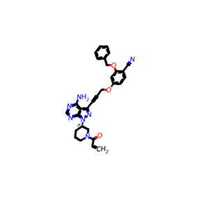 C=CC(=O)N1CCC[C@@H](n2nc(C#CCOc3ccc(C#N)c(OCc4ccccc4)c3)c3c(N)ncnc32)C1